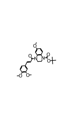 COc1ccc2c(c1)N(C(=O)C=Cc1ccc(OC)c(OC)c1)CCN2C(=O)OC(C)(C)C